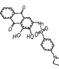 O=C1c2ccccc2C(=O)c2c1cc(NS(=O)(=O)c1ccc(N3CCC3)cc1)c(O)c2O